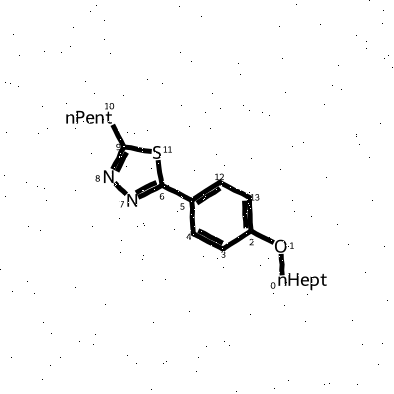 CCCCCCCOc1ccc(-c2nnc(CCCCC)s2)cc1